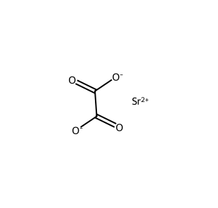 O=C([O-])C(=O)[O-].[Sr+2]